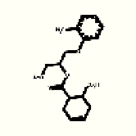 CC(=O)OCC(COc1ccccc1C)OC(=O)C1CC=CCC1C(=O)O